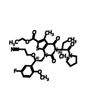 CCOC(=O)c1sc2c(c1C)c(=O)n([C@@](C)(CC)C(=O)N1CCCC1)c(=O)n2C[C@H](OCCC#N)c1cc(F)ccc1OC